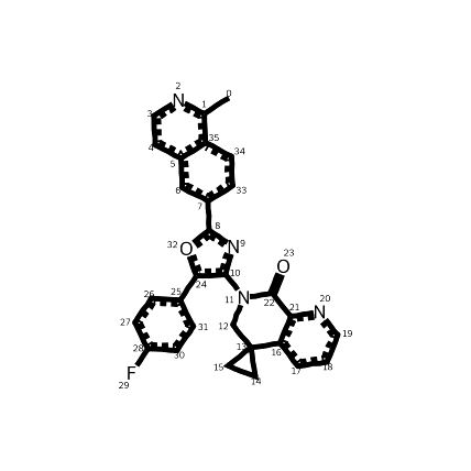 Cc1nccc2cc(-c3nc(N4CC5(CC5)c5cccnc5C4=O)c(-c4ccc(F)cc4)o3)ccc12